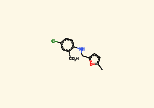 Cc1ccc(CNc2ccc(Cl)cc2C(=O)O)o1